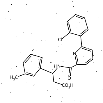 Cc1cccc(C(CC(=O)O)NC(=O)c2cccc(-c3ccccc3Cl)n2)c1